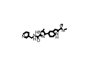 C/N=C(\OC)c1cc2cc(-c3nc(C(=O)NCc4cccnc4)[nH]c3C)ccc2[nH]1